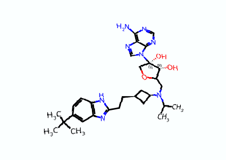 CC(C)N(CC1OC[C@@](O)(n2cnc3c(N)ncnc32)[C@@H]1O)[C@H]1C[C@@H](CCc2nc3cc(C(C)(C)C)ccc3[nH]2)C1